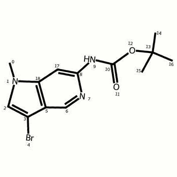 Cn1cc(Br)c2cnc(NC(=O)OC(C)(C)C)cc21